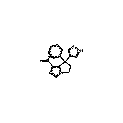 NC(=O)c1nnn2c1C(c1ccccc1)(c1cn[nH]c1)CC2